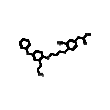 CCCc1cc(Oc2ccccc2)ccc1OCCCSc1ccc(CC(=O)O)cc1C